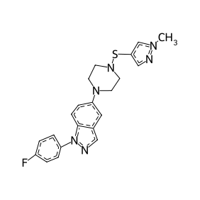 Cn1cc(SN2CCN(c3ccc4c(cnn4-c4ccc(F)cc4)c3)CC2)cn1